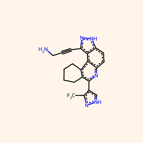 NCC#Cc1n[nH]c2ccc3nc(-c4c[nH]nc4C(F)(F)F)c4c(c3c12)CCCC4